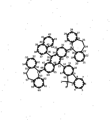 CC1(C)c2ccccc2-c2ccc(-c3c4cc(N5c6ccccc6CCc6ccccc65)ccc4c(-c4cccc5ccccc45)c4cc(N5c6ccccc6CCc6ccccc65)ccc34)cc21